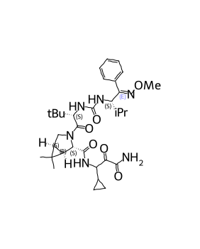 CO/N=C(\c1ccccc1)[C@@H](NC(=O)N[C@H](C(=O)N1C[C@H]2[C@@H]([C@H]1C(=O)NC(C(=O)C(N)=O)C1CC1)C2(C)C)C(C)(C)C)C(C)C